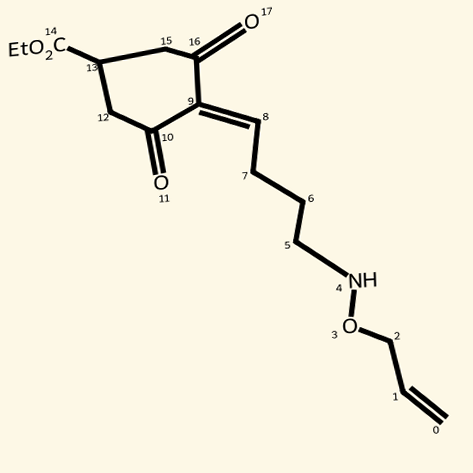 C=CCONCCCC=C1C(=O)CC(C(=O)OCC)CC1=O